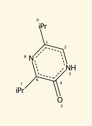 CC(C)c1c[nH]c(=O)c(C(C)C)n1